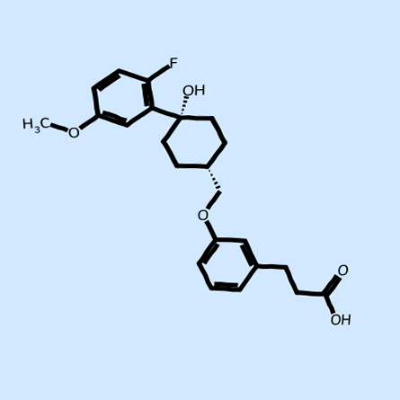 COc1ccc(F)c([C@]2(O)CC[C@@H](COc3cccc(CCC(=O)O)c3)CC2)c1